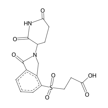 O=C(O)CCS(=O)(=O)c1cccc2c1CN(C1CCC(=O)NC1=O)C2=O